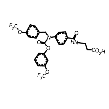 O=C(O)CCNC(=O)c1ccc(N(Cc2ccc(OC(F)(F)F)cc2)C(=O)Oc2cccc(OC(F)(F)F)c2)cc1